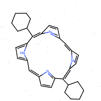 C1=Cc2nc1cc1ccc([nH]1)c(C1CCCCC1)c1nc(cc3ccc([nH]3)c2C2CCCCC2)C=C1